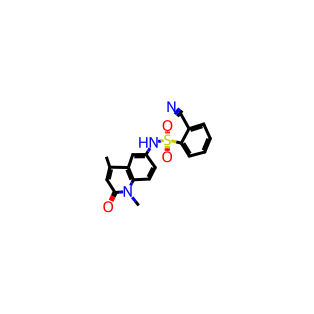 Cc1cc(=O)n(C)c2ccc(NS(=O)(=O)c3ccccc3C#N)cc12